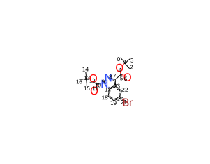 CC(C)(C)OC(=O)c1nn(C(=O)OC(C)(C)C)c2ccc(Br)cc12